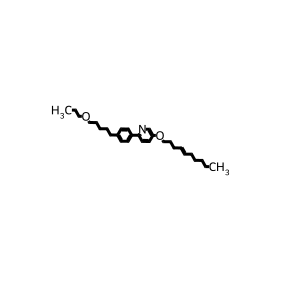 CCCCCC=CCCCOc1ccc(-c2ccc(CCCCCOCCC)cc2)nc1